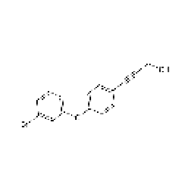 OCC#Cc1ccc(Oc2cccc(Br)c2)cc1